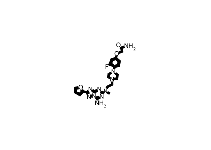 CN(CCN1CCN(c2ccc(OCC(N)=O)cc2F)CC1)c1nc(N)n2nc(-c3ccco3)nc2n1